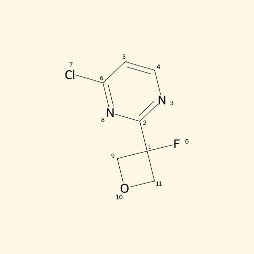 FC1(c2nccc(Cl)n2)COC1